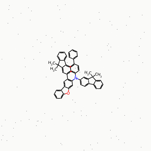 CC1(C)c2ccccc2-c2ccc(-c3cc4c(cc3N(c3ccc(-c5ccccc5)cc3)c3ccc5c(c3)C(C)(C)c3ccccc3-5)oc3ccccc34)cc21